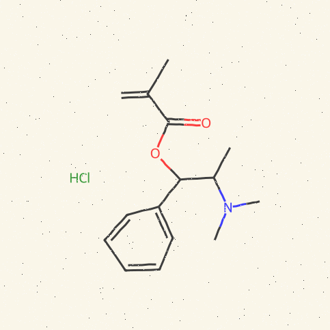 C=C(C)C(=O)OC(c1ccccc1)C(C)N(C)C.Cl